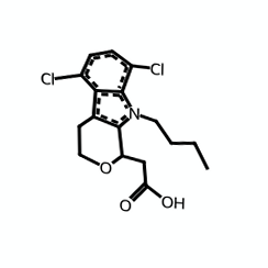 CCCCn1c2c(c3c(Cl)ccc(Cl)c31)CCOC2CC(=O)O